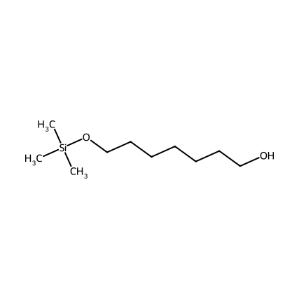 C[Si](C)(C)OCCCCCCCO